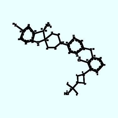 CC(C)(O)C1CN(c2nccc(Sc3cnc(N4CCC5(CC4)Oc4ccc(F)cc4[C@H]5N)cn3)c2Cl)C1